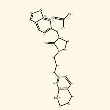 O=C(O)C[C@@H](c1ccc2ccoc2n1)N1CCN(CCCc2ccc3c(n2)NCCC3)C1=O